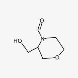 O=[C]N1CCOCC1CO